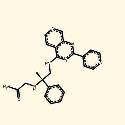 C[C@](CNc1nc(-c2ccncc2)nc2cnccc12)(NCC(N)=O)c1ccccc1